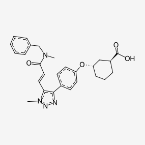 CN(Cc1ccccc1)C(=O)/C=C/c1c(-c2ccc(O[C@H]3CCC[C@H](C(=O)O)C3)cc2)nnn1C